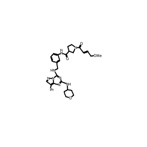 COCC=CC(=O)N1CCC(C(=O)Nc2cccc(CNc3nc(NC4CCOCC4)nc4c(C(C)C)cnn34)c2)C1